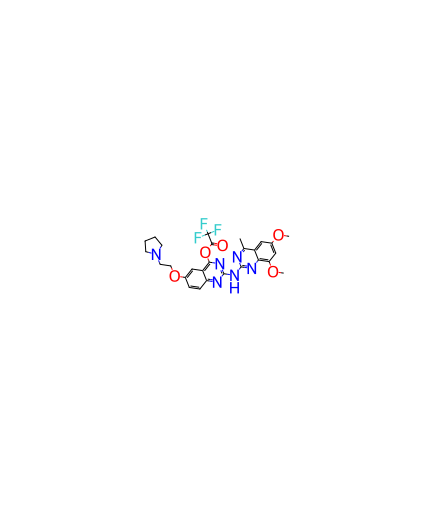 COc1cc(OC)c2nc(Nc3nc(OC(=O)C(F)(F)F)c4cc(OCCN5CCCC5)ccc4n3)nc(C)c2c1